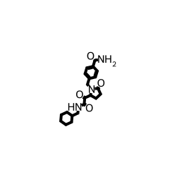 NC(=O)c1ccc(CN2C(=O)CCC2C(=O)C(=O)NCC2CCCCC2)cc1